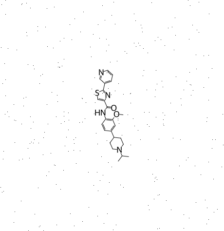 COc1cc(C2CCN(C(C)C)CC2)ccc1NC(=O)c1csc(-c2cccnc2)n1